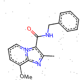 COc1cccn2c(C(=O)NCc3ccccc3)c(C)nc12